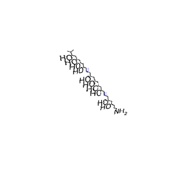 CC(C)C(O)CC(O)CC(O)CC(O)/C=C/CC(O)CC(O)CC(O)CC(O)/C=C/CC(O)CC(O)CCCN